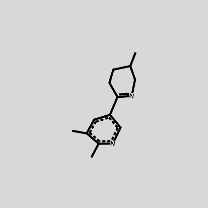 Cc1cc(C2=NCC(C)CC2)cnc1C